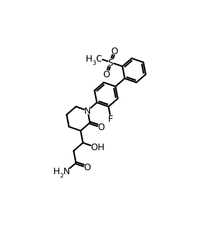 CS(=O)(=O)c1ccccc1-c1ccc(N2CCCC(C(O)CC(N)=O)C2=O)c(F)c1